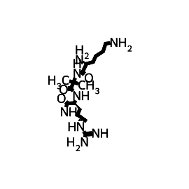 CC(C)(NC(=O)[C@@H](N)CCCCN)C(=O)N[C@@H](CCCNC(=N)N)C(N)=O